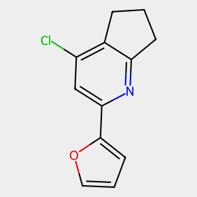 Clc1cc(-c2ccco2)nc2c1CCC2